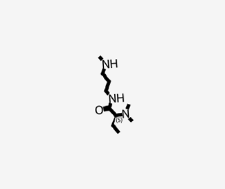 CC[C@@H](C(=O)NCCCNC)N(C)C